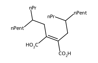 CCCCCC(CCC)CC(C(=O)O)=C(CC(CCC)CCCCC)C(=O)O